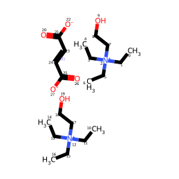 CC[N+](CC)(CC)CCO.CC[N+](CC)(CC)CCO.O=C([O-])/C=C/C(=O)[O-]